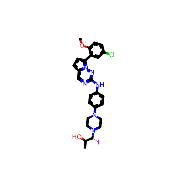 COc1ccc(Cl)cc1-c1ccc2cnc(Nc3ccc(N4CCN([C@H](I)C(C)O)CC4)cc3)nn12